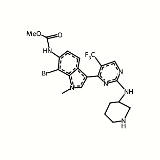 COC(=O)Nc1ccc2c(-c3nc(NC4CCCNC4)ncc3C(F)(F)F)cn(C)c2c1Br